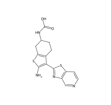 Nc1sc2c(c1-c1nc3cnccc3s1)CCC(NC(=O)O)C2